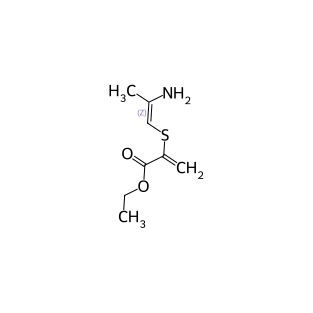 C=C(S/C=C(/C)N)C(=O)OCC